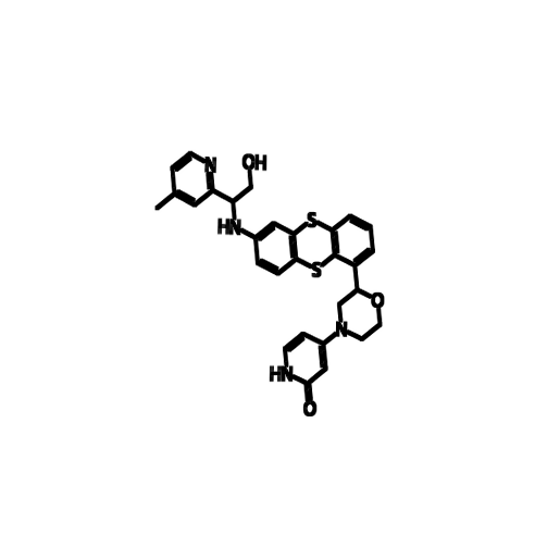 Cc1ccnc(C(CO)Nc2ccc3c(c2)Sc2cccc(C4CN(c5cc[nH]c(=O)c5)CCO4)c2S3)c1